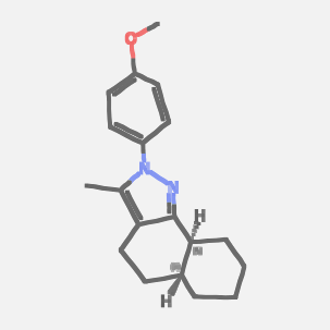 COc1ccc(-n2nc3c(c2C)CC[C@H]2CCCC[C@H]32)cc1